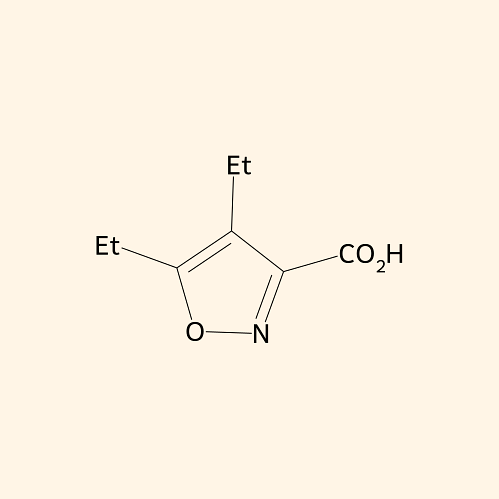 CCc1onc(C(=O)O)c1CC